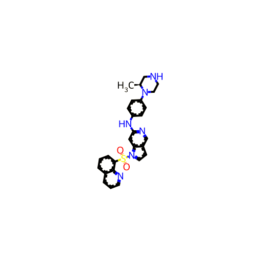 C[C@H]1CNCCN1c1ccc(Nc2cc3c(ccn3S(=O)(=O)c3cccc4cccnc34)cn2)cc1